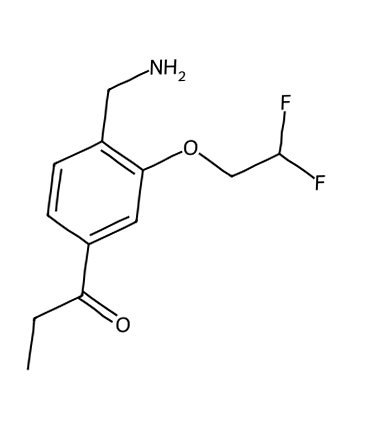 CCC(=O)c1ccc(CN)c(OCC(F)F)c1